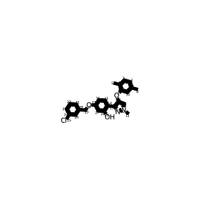 Cc1ccc(C)c(Oc2cn(C)nc2-c2ccc(OCc3cccc(Cl)c3)cc2O)c1